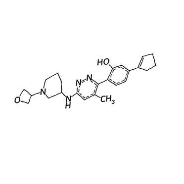 Cc1cc(NC2CCCN(C3COC3)C2)nnc1-c1ccc(C2=CCCC2)cc1O